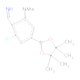 CNc1cc(B2OC(C)(C)C(C)(C)O2)cc(F)c1C=N